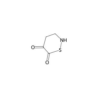 O=C1CCNSC1=O